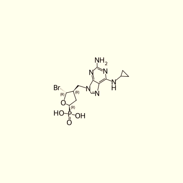 Nc1nc(NC2CC2)c2ncn(C[C@H]3C[C@@H](P(=O)(O)O)O[C@@H]3Br)c2n1